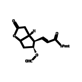 CCCCCC(=O)/C=C/[C@H]1[C@H](OC=O)CC2OC(=O)C[C@@H]21